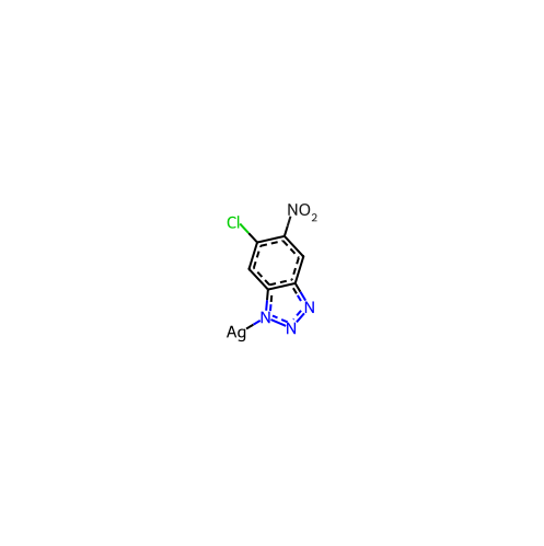 O=[N+]([O-])c1cc2nn[n]([Ag])c2cc1Cl